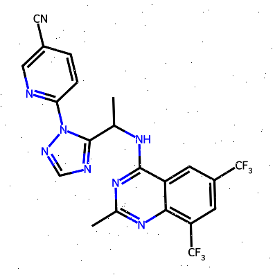 Cc1nc(NC(C)c2ncnn2-c2ccc(C#N)cn2)c2cc(C(F)(F)F)cc(C(F)(F)F)c2n1